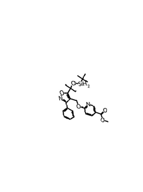 COC(=O)c1ccc(OCc2c(-c3ccccc3)noc2C(C)(C)O[SiH2]C(C)(C)C)nc1